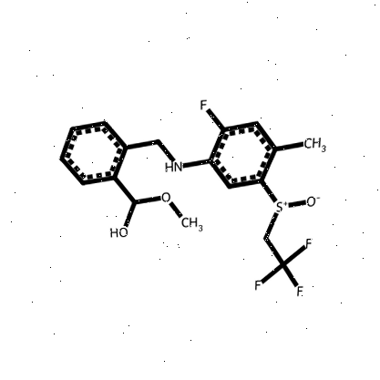 COC(O)c1ccccc1CNc1cc([S+]([O-])CC(F)(F)F)c(C)cc1F